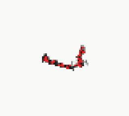 Nc1ncnc2c1c(-c1ccc3c(c1)CCN3C(=O)Cc1cccc(OC(F)(F)F)c1)cn2CCCNC(=O)c1ccc(C#CC2CCN(C(=O)CN3CCC(c4ccc(NC5CCC(=O)NC5=O)cc4)CC3)CC2)cc1